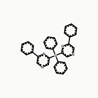 c1ccc(-c2cncc([Si](c3ccccc3)(c3ccccc3)c3cncc(-c4ccccc4)n3)n2)cc1